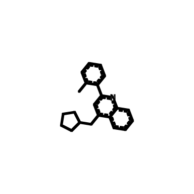 Cc1ccccc1-c1cc(CC2CCCC2)c2ccccc2n1